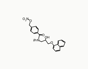 CC(C)N(CC(O)COc1cccc2ccccc12)C(=O)c1ccc(CO[N+](=O)[O-])cc1